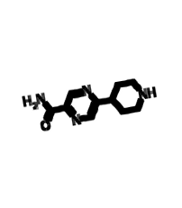 NC(=O)c1cnc(C2CCNCC2)cn1